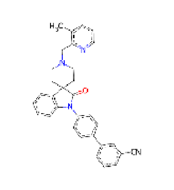 Cc1cccnc1CN1CCC2(CC1)C(=O)N(c1ccc(-c3cccc(C#N)c3)cc1)c1ccccc12